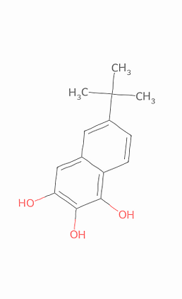 CC(C)(C)c1ccc2c(O)c(O)c(O)cc2c1